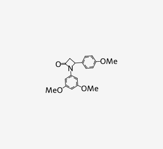 COc1ccc(C2CC(=O)N2c2cc(OC)cc(OC)c2)cc1